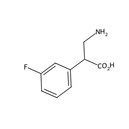 NCC(C(=O)O)c1cccc(F)c1